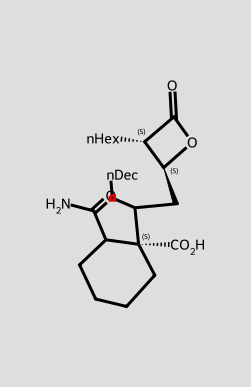 CCCCCCCCCCCC(C[C@@H]1OC(=O)[C@H]1CCCCCC)[C@@]1(C(=O)O)CCCCC1C(N)=O